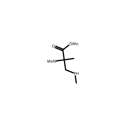 CNC(C)(CPC)C(=O)OC